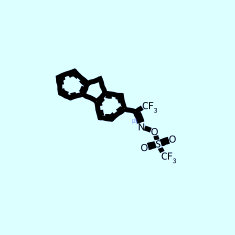 O=S(=O)(O/N=C(/c1ccc2c(c1)Cc1ccccc1-2)C(F)(F)F)C(F)(F)F